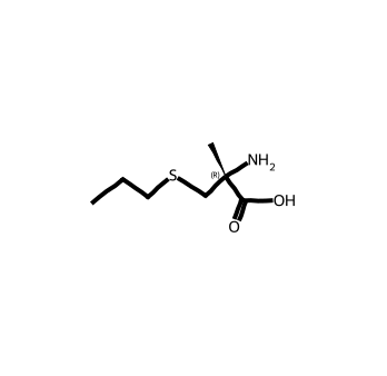 CCCSC[C@](C)(N)C(=O)O